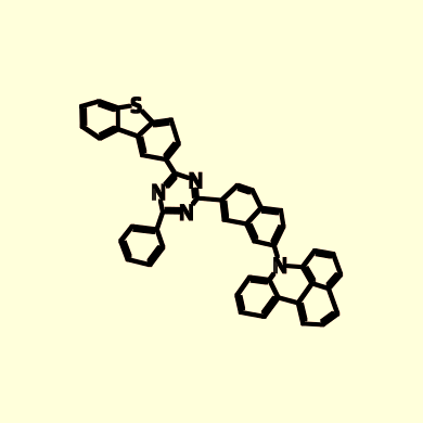 c1ccc(-c2nc(-c3ccc4ccc(N5c6ccccc6-c6cccc7cccc5c67)cc4c3)nc(-c3ccc4sc5ccccc5c4c3)n2)cc1